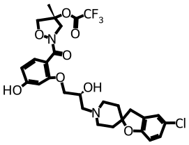 C[C@]1(OC(=O)C(F)(F)F)CON(C(=O)c2ccc(O)cc2OC[C@H](O)CN2CCC3(CC2)Cc2cc(Cl)ccc2O3)C1